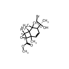 COC(=O)[C@@]12O[C@@H]1C1(C)C(C)(C)C([C@](C)(O)CBr)C=CC12C